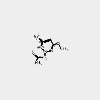 COC1=NN(OC(N)=O)NC(C)=C1